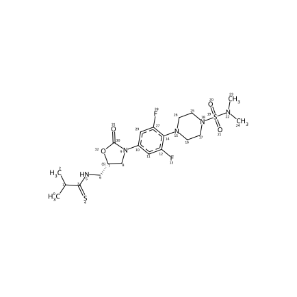 CC(C)C(=S)NC[C@H]1CN(c2cc(F)c(N3CCN(S(=O)(=O)N(C)C)CC3)c(F)c2)C(=O)O1